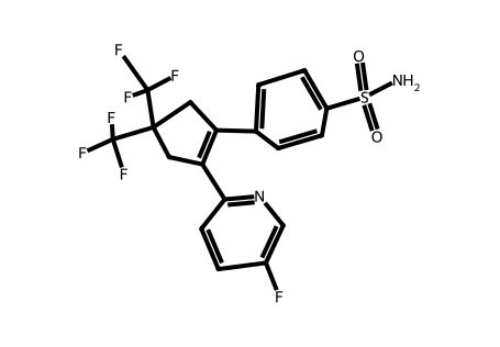 NS(=O)(=O)c1ccc(C2=C(c3ccc(F)cn3)CC(C(F)(F)F)(C(F)(F)F)C2)cc1